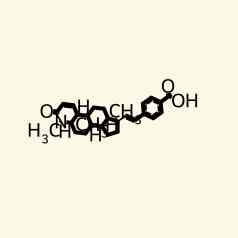 CN1C(=O)C=C[C@]2(C)[C@H]3CC[C@]4(C)[C@@H](C=Cc5ccc(C(=O)O)cc5)CC[C@H]4[C@@H]3CC[C@@H]12